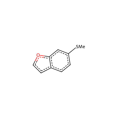 CSc1ccc2ccoc2c1